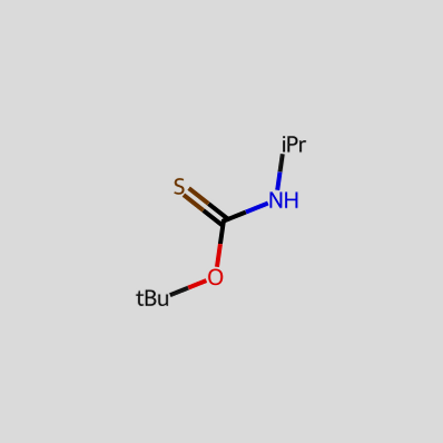 CC(C)NC(=S)OC(C)(C)C